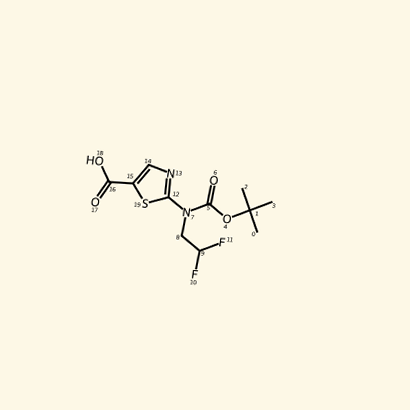 CC(C)(C)OC(=O)N(CC(F)F)c1ncc(C(=O)O)s1